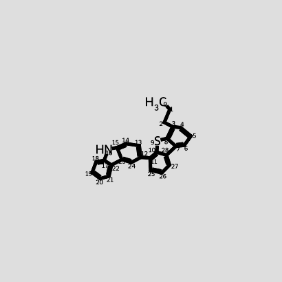 CCCc1cccc2c1sc1c(-c3ccc4[nH]c5ccccc5c4c3)cccc12